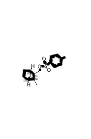 Cc1ccc(S(=O)(=O)OC[C@@H]2[C@H](C)[C@H]3C=C[C@@H]2O3)cc1